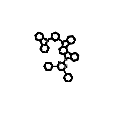 c1ccc(-c2cc(-c3ccccc3)nc(-n3c4ccccc4c4c5c6ccccc6n(-c6cccc(-n7c8ccccc8c8ccccc87)c6)c5ccc43)n2)cc1